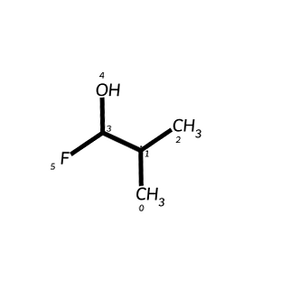 C[C](C)C(O)F